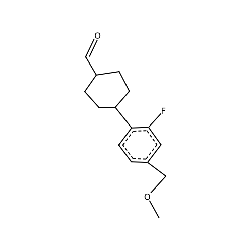 COCc1ccc(C2CCC(C=O)CC2)c(F)c1